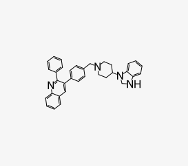 c1ccc(-c2nc3ccccc3cc2-c2ccc(CN3CCC(N4CNc5ccccc54)CC3)cc2)cc1